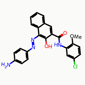 COc1ccc(Cl)cc1NC(=O)c1cc2ccccc2c(N=Nc2ccc(N)cc2)c1O